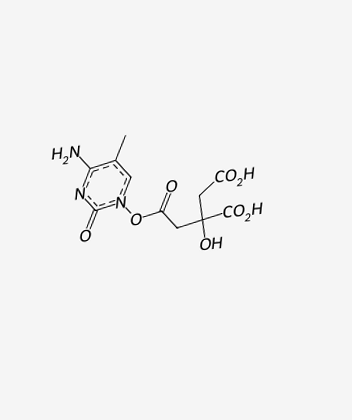 Cc1cn(OC(=O)CC(O)(CC(=O)O)C(=O)O)c(=O)nc1N